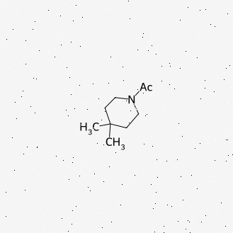 [CH2]C(=O)N1CCC(C)(C)CC1